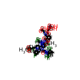 CC(C)(C#Cc1ccc(-c2ccc(Cl)c3c(N(C(=O)c4ccccc4CN(CCC(=O)O)C(=O)OCOP(=O)(O)O)S(C)(=O)=O)nn(CC(F)(F)F)c23)c([C@H](Cc2cc(F)cc(F)c2)NC(=O)Cn2nc(C(F)(F)F)c3c2C(F)(F)C2C[C@H]32)n1)S(C)(=O)=O